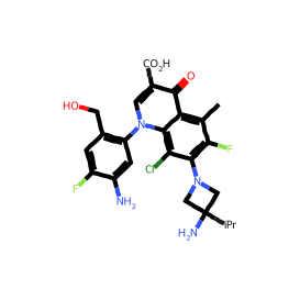 Cc1c(F)c(N2CC(N)(C(C)C)C2)c(Cl)c2c1c(=O)c(C(=O)O)cn2-c1cc(N)c(F)cc1CO